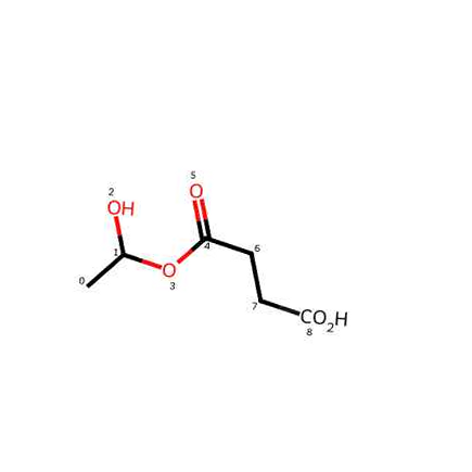 CC(O)OC(=O)CCC(=O)O